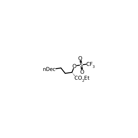 CCCCCCCCCCCC[C@H](OS(=O)(=O)C(F)(F)F)C(=O)OCC